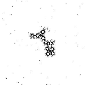 [2H]c1ccc2c(c1)c1cc(-c3ccc(N(c4ccc(C)cc4)c4ccc(-c5ccccc5)cc4)cc3)ccc1n2-c1ccc2c(c1)C(c1ccccc1)(c1ccccc1)c1ccccc1-2